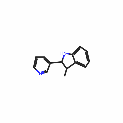 CC1c2ccccc2NC1c1cccnc1